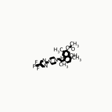 CC(=O)O[C@@H]1[C][C@@]2(O)[C@H](C)CC[C@@H]([C@@H](C)CN3CCN(c4ncc(C(F)(F)F)cn4)CC3)[C@H]2C=C1C